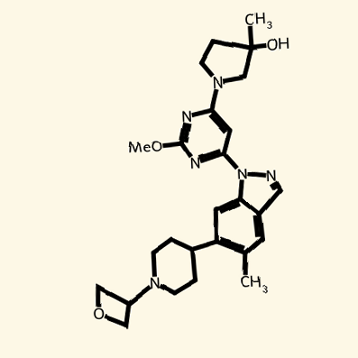 COc1nc(N2CCC(C)(O)C2)cc(-n2ncc3cc(C)c(C4CCN(C5COC5)CC4)cc32)n1